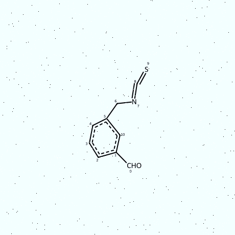 O=Cc1cccc(CN=C=S)c1